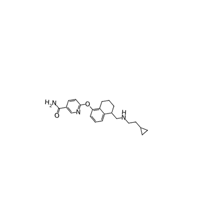 NC(=O)c1ccc(Oc2cccc3c2CCCC3CNCCC2CC2)nc1